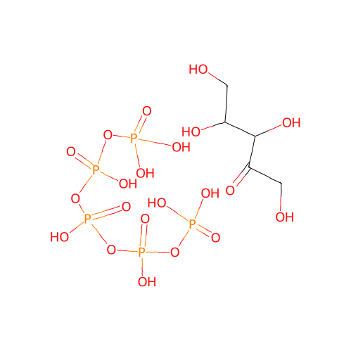 O=C(CO)C(O)C(O)CO.O=P(O)(O)OP(=O)(O)OP(=O)(O)OP(=O)(O)OP(=O)(O)O